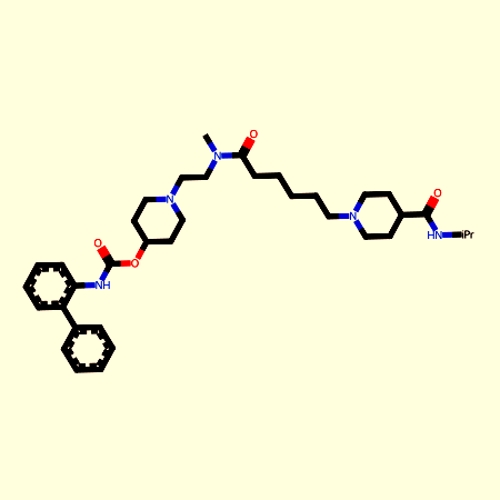 CC(C)NC(=O)C1CCN(CCCCCC(=O)N(C)CCN2CCC(OC(=O)Nc3ccccc3-c3ccccc3)CC2)CC1